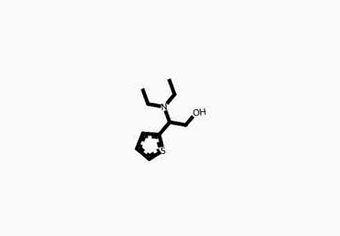 CCN(CC)C(CO)c1cccs1